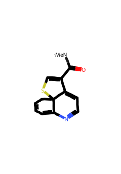 C[N]C(=O)C1=CSC23CC=CC=C2N=CC=C13